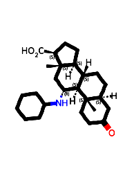 C[C@]12CCC(=O)C[C@@H]1CC[C@@H]1[C@@H]2[C@H](NC2CCCCC2)C[C@]2(C)[C@@H](C(=O)O)CC[C@@H]12